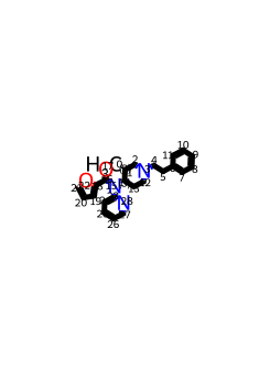 C[C@@H]1CN(CCc2ccccc2)CC[C@@H]1N(C(=O)c1ccco1)c1ccccn1